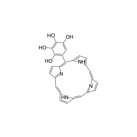 Oc1cc(-c2c3nc(cc4ccc(cc5nc(cc6ccc2[nH]6)C=C5)[nH]4)C=C3)c(O)c(O)c1O